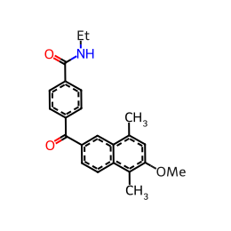 CCNC(=O)c1ccc(C(=O)c2ccc3c(C)c(OC)cc(C)c3c2)cc1